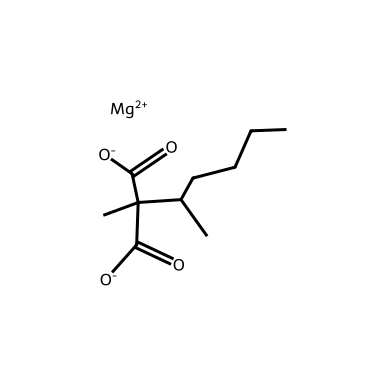 CCCCC(C)C(C)(C(=O)[O-])C(=O)[O-].[Mg+2]